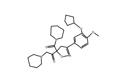 COc1ccc(C2=NOC(C(=O)CN3CCCCC3)(C(=O)N3CCCCC3)C2)cc1OC1CCCC1